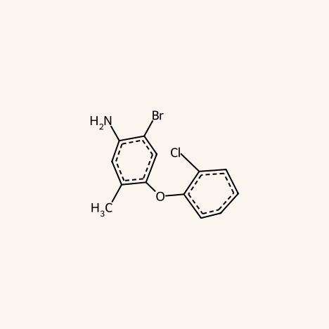 Cc1cc(N)c(Br)cc1Oc1ccccc1Cl